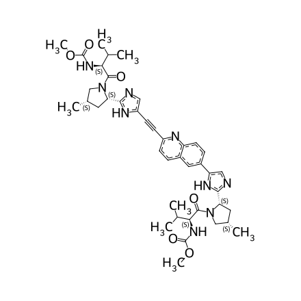 COC(=O)N[C@H](C(=O)N1C[C@@H](C)C[C@H]1c1ncc(C#Cc2ccc3cc(-c4cnc([C@@H]5C[C@H](C)CN5C(=O)[C@@H](NC(=O)OC)C(C)C)[nH]4)ccc3n2)[nH]1)C(C)C